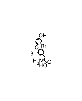 N[C@@H](Cc1cc(Br)c(Oc2ccc(O)cc2)c(Br)c1)C(=O)O